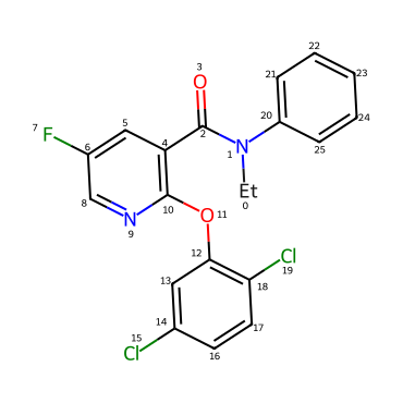 CCN(C(=O)c1cc(F)cnc1Oc1cc(Cl)ccc1Cl)c1ccccc1